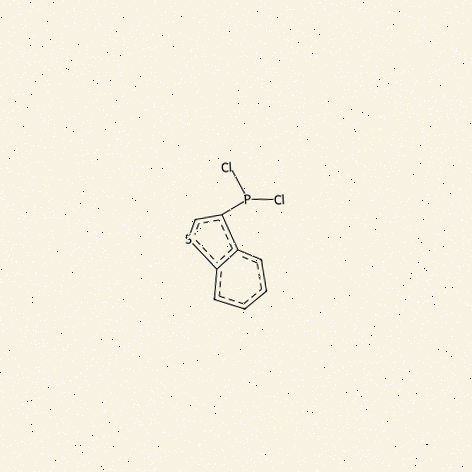 ClP(Cl)c1csc2ccccc12